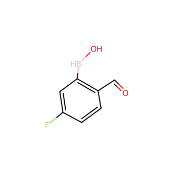 O=Cc1ccc(F)cc1BO